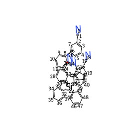 N#Cc1ccc2c(c1)c1ccccc1n2-c1c(C#N)cccc1-c1c(C#N)cccc1[Si](c1ccccc1)(c1ccccc1)c1ccccc1